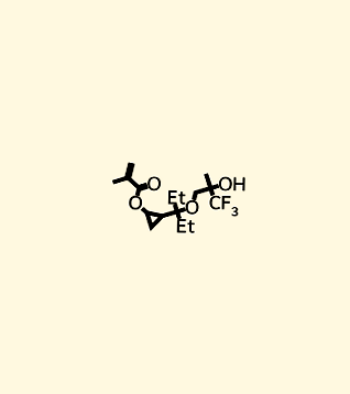 C=C(C)C(=O)OC1CC1C(CC)(CC)OCC(C)(O)C(F)(F)F